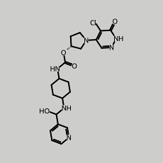 O=C(NC1CCC(NC(O)c2cccnc2)CC1)O[C@@H]1CCN(c2cn[nH]c(=O)c2Cl)C1